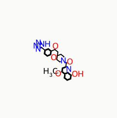 COc1cc(C(=O)N2CCC3(CC2)CC(=O)c2cc(-c4nnn[nH]4)ccc2O3)nc2c(O)cccc12